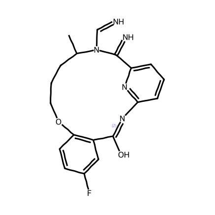 CC1CCCOc2ccc(F)cc2/C(O)=N/c2cccc(n2)C(=N)N1C=N